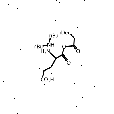 CCCCCCCCCCCC(=O)OC(=O)C(N)CCC(=O)O.CCCCNCCCC